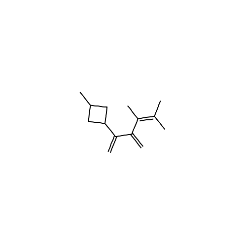 C=C(C(=C)C1CC(C)C1)C(C)=C(C)C